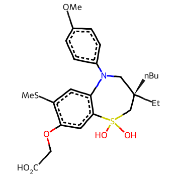 CCCC[C@]1(CC)CN(c2ccc(OC)cc2)c2cc(SC)c(OCC(=O)O)cc2S(O)(O)C1